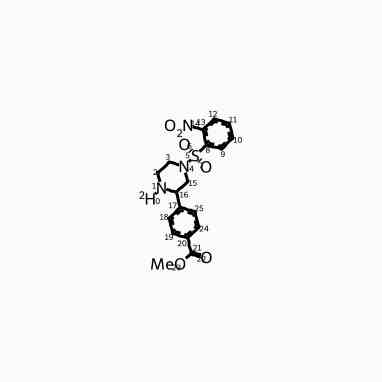 [2H]N1CCN(S(=O)(=O)c2ccccc2[N+](=O)[O-])CC1c1ccc(C(=O)OC)cc1